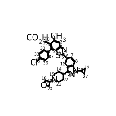 Cc1cc2nc(-c3ccc4c(c3)c(C3CCN(C5COC5)CC3)nn4C3CC3)sc2c(-c2ccc(Cl)cc2)c1CC(=O)O